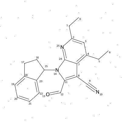 CCc1cc(CC)c2c(C#N)c(C=O)n(C3CCc4ccccc43)c2n1